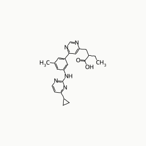 CCC(Cc1cc(-c2cc(C)cc(Nc3nccc(C4CC4)n3)c2)ncn1)C(=O)O